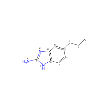 CCCc1ccc2[nH]c(N)nc2c1